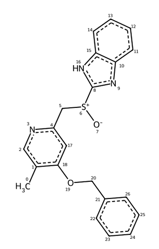 Cc1cnc(C[S+]([O-])c2nc3ccccc3[nH]2)cc1OCc1ccccc1